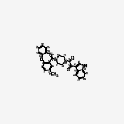 Cc1ccc2c(c1)C(N1CCN(C(=O)C(=O)c3c[nH]c4ccccc34)CC1)=Nc1ccccc1O2